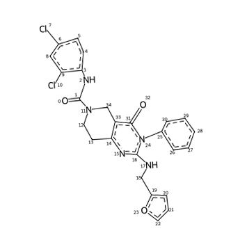 O=C(Nc1ccc(Cl)cc1Cl)N1CCc2nc(NCc3ccco3)n(-c3ccccc3)c(=O)c2C1